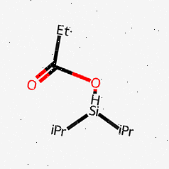 C[CH]C(=O)O[SiH](C(C)C)C(C)C